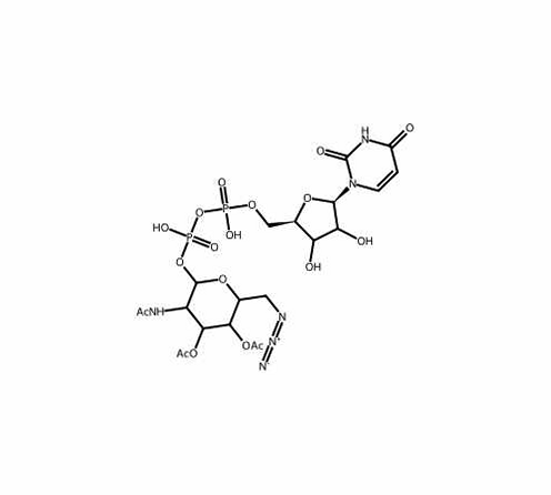 CC(=O)NC1C(OP(=O)(O)OP(=O)(O)OC[C@H]2O[C@@H](n3ccc(=O)[nH]c3=O)C(O)C2O)OC(CN=[N+]=[N-])C(OC(C)=O)C1OC(C)=O